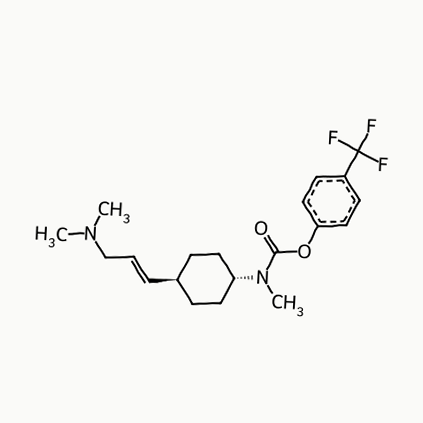 CN(C)CC=C[C@H]1CC[C@H](N(C)C(=O)Oc2ccc(C(F)(F)F)cc2)CC1